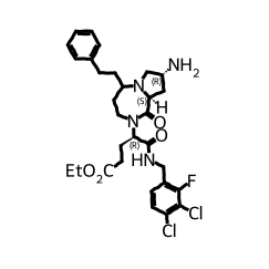 CCOC(=O)CC[C@H](C(=O)NCc1ccc(Cl)c(Cl)c1F)N1CCC(CCc2ccccc2)N2C[C@H](N)C[C@H]2C1=O